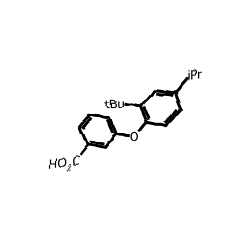 CC(C)c1ccc(Oc2cccc(C(=O)O)c2)c(C(C)(C)C)c1